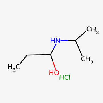 CCC(O)NC(C)C.Cl